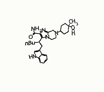 CCCCC(Cc1c[nH]c2ccccc12)c1c(C(N)=O)nc2n1CCN(C1CCC(C)(O)CC1)C2